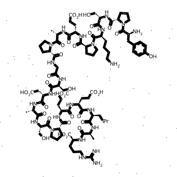 CC(C)C[C@H](NC(=O)[C@H](CCC(=O)O)NC(=O)[C@H](CCC(=O)O)NC(=O)[C@@H]1CCCN1C(=O)[C@H](CO)NC(=O)[C@H](C)NC(=O)[C@H](CC(=O)O)NC(=O)[C@H](CO)NC(=O)CNC(=O)[C@@H]1CCCN1C(=O)[C@H](C)NC(=O)[C@H](CCC(=O)O)NC(=O)[C@@H]1CCCN1C(=O)[C@H](CCCCN)NC(=O)[C@H](CO)NC(=O)[C@@H]1CCCN1C(=O)[C@@H](N)Cc1ccc(O)cc1)C(=O)N[C@@H](C)C(=O)N[C@@H](CCCNC(=N)N)C(=O)O